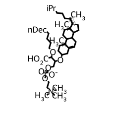 CCCCCCCCCCCCCCOC(C(=O)O)C(COP(=O)([O-])OCC[N+](C)(C)C)OC1CC[C@@]2(C)C(=CCC3C2CC[C@@]2(C)C3CC[C@@H]2[C@H](C)CCCC(C)C)C1